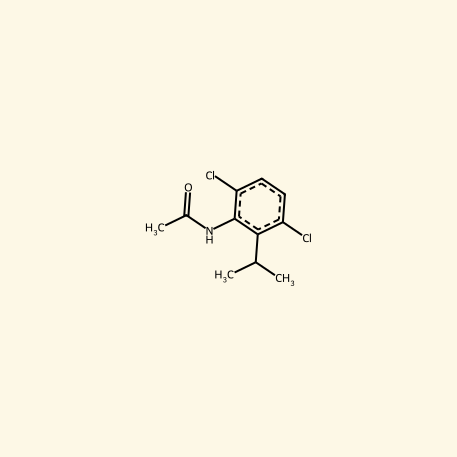 CC(=O)Nc1c(Cl)ccc(Cl)c1C(C)C